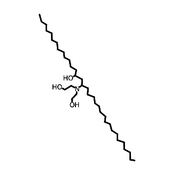 CCCCCCCCCCCCCCCCCC(CC(O)CCCCCCCCCCCCC)N(CCO)CCO